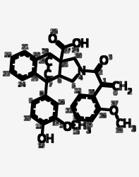 C=C(C(=O)N1CC2C3(c4ccc(O)c(OC)c4)CCC(c4ccccc43)C2(C(=O)O)C1)c1ccccc1OC